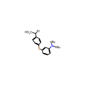 CCCCN(CCCC)c1cccc(Sc2ccc(C(CC)C(=O)O)cc2)c1